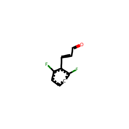 O=[C]/C=C/c1c(F)cccc1F